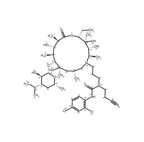 CC[C@H]1OC(=O)[C@H](C)[C@@H](O)[C@H](C)[C@@H](O[C@@H]2O[C@H](C)C[C@H](N(C)C)[C@H]2O)[C@](C)(O)C[C@@H](C)CN(CCCN(CCC#N)C(=O)Nc2ccc(Cl)cc2Cl)[C@H](C)[C@@H](O)[C@]1(C)O